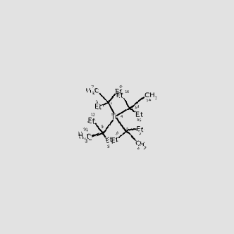 CC[C](C)(CC)[Ti]([C](C)(CC)CC)([C](C)(CC)CC)[C](C)(CC)CC